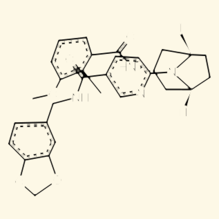 COc1cccc(C(=O)N[C@H]2C[C@H]3CC[C@@H](C2)N3c2ccc(C(=O)NCc3ccc4c(c3)OCO4)cn2)c1C